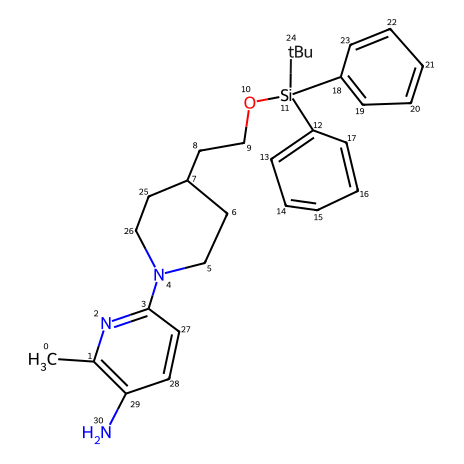 Cc1nc(N2CCC(CCO[Si](c3ccccc3)(c3ccccc3)C(C)(C)C)CC2)ccc1N